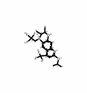 CC(C)Oc1cc(C(F)(F)F)c2cc3c(cc2n1)OC(C)C(C)N3CC(F)(F)F